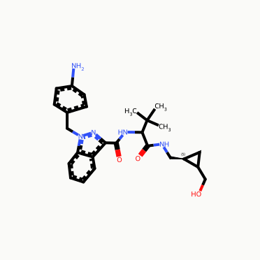 CC(C)(C)C(NC(=O)c1nn(Cc2ccc(N)cc2)c2ccccc12)C(=O)NC[C@H]1CC1CO